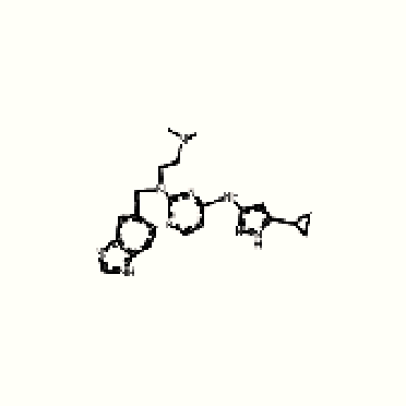 CN(C)CCN(Cc1ccc2[nH]cnc2c1)c1nccc(Nc2cc(C3CC3)[nH]n2)n1